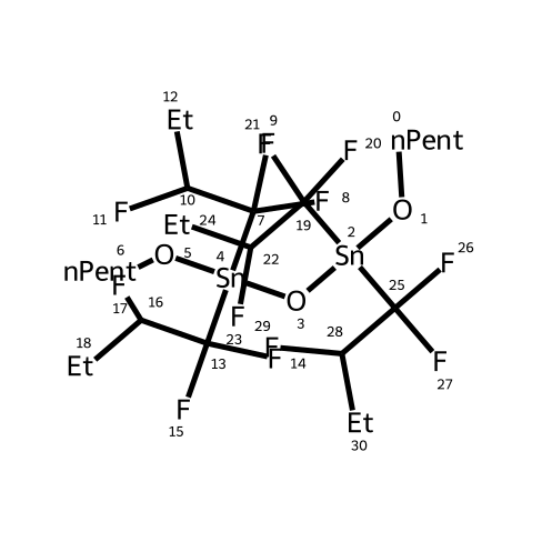 CCCCC[O][Sn]([O][Sn]([O]CCCCC)([C](F)(F)C(F)CC)[C](F)(F)C(F)CC)([C](F)(F)C(F)CC)[C](F)(F)C(F)CC